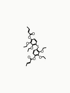 CC=CC(=O)Oc1ccc(Sc2ccc(OC(=O)C=CC)c(OCC)c2OCC)c(OCC)c1OCC